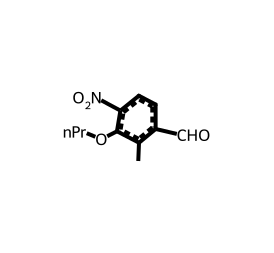 CCCOc1c([N+](=O)[O-])ccc(C=O)c1C